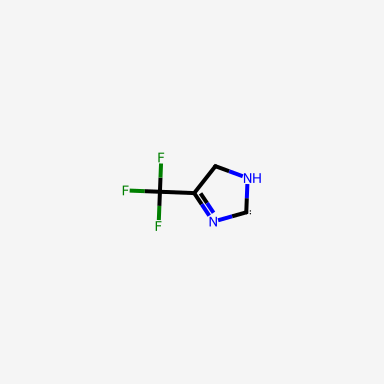 FC(F)(F)C1=N[C]NC1